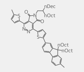 CCCCCCCCCCC(CCCCCCCC)CN1C(=O)c2c(-c3ccc(C)s3)nnc(-c3ccc(-c4ccc5c(c4)C(CCCCCCCC)(CCCCCCCC)c4cc(C)ccc4-5)s3)c2C1=O